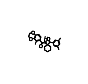 Cc1cc(C)cc(C(=O)C2(NC(=O)c3ccc4c(c3C)OCCO4)CCCCC2)c1